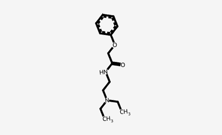 CCN(CC)CCNC(=O)COc1cc[c]cc1